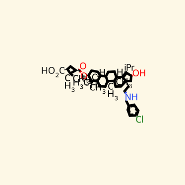 CC(C)C1=C2[C@H]3CC[C@@H]4[C@@]5(C)CC[C@H](OC(=O)[C@H]6C[C@@H](C(=O)O)C6(C)C)C(C)(C)[C@@H]5CC[C@@]4(C)[C@]3(C)CC[C@@]2(CCNCc2ccc(Cl)cc2)CC1O